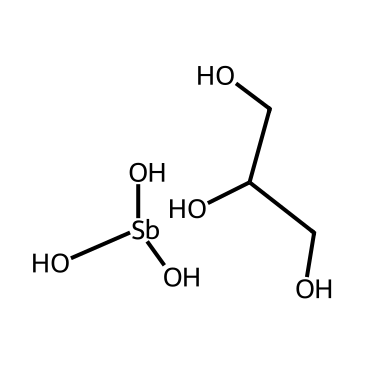 OCC(O)CO.[OH][Sb]([OH])[OH]